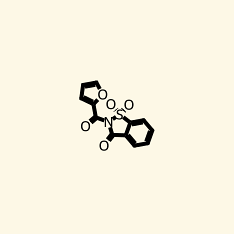 O=C(c1ccco1)N1C(=O)c2ccccc2S1(=O)=O